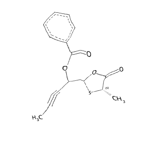 CC#CC(OC(=O)c1ccccc1)C1OC(=O)[C@H](C)S1